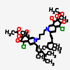 CC[C@H](C)C=C(C)C=CC1=CC2=C(Cl)C(=O)[C@@](C)(OC(C)=O)C(=O)C2=CN1CCCCN1C=C2C(=O)[C@](C)(OC(C)=O)C(=O)C(Cl)=C2C=C1C=CC(C)=C[C@@H](C)CC